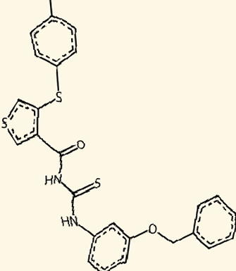 O=C(NC(=S)Nc1cccc(OCc2ccccc2)c1)c1cscc1Sc1ccc(Cl)cc1